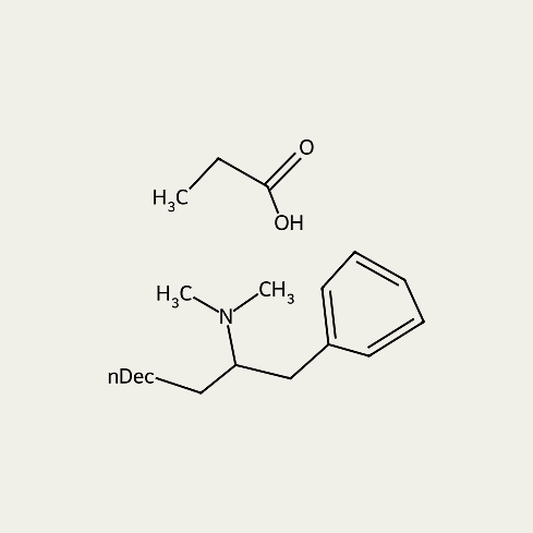 CCC(=O)O.CCCCCCCCCCCC(Cc1ccccc1)N(C)C